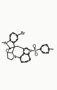 Cc1ccc(S(=O)(=O)n2cc3c4c(cccc42)N2CCCC2C2(C3)C(=O)N(C)c3ccc(Br)cc32)cc1